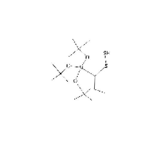 CCC(SS)[Si](OC(C)(C)C)(OC(C)(C)C)OC(C)(C)C